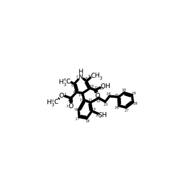 COC(=O)C1=C(C)NC(C)=C(C(=O)O)C1c1cccc(S)c1CCCc1ccccc1